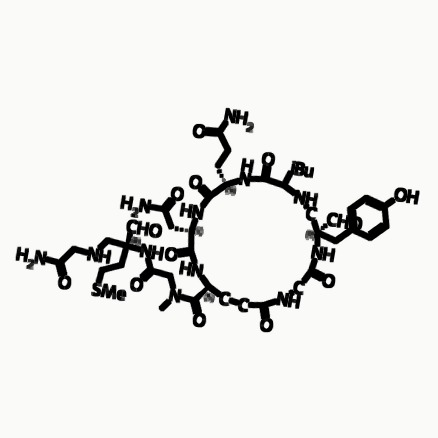 CCC(C)C1NC[C@@](C=O)(Cc2ccc(O)cc2)NC(=O)CNC(=O)CC[C@@H](C(=O)N(C)CC(=O)N[C@](C=O)(CCSC)CNCC(N)=O)NC(=O)[C@H](CC(N)=O)NC(=O)[C@H](CCC(N)=O)NC1=O